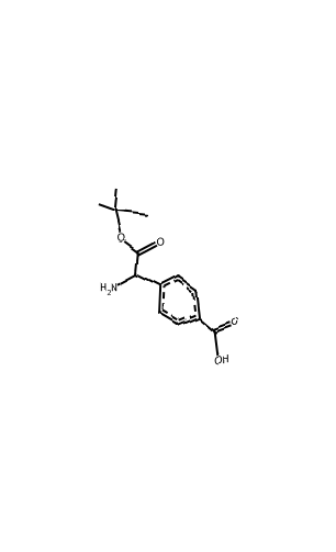 CC(C)(C)OC(=O)C(N)c1ccc(C(=O)O)cc1